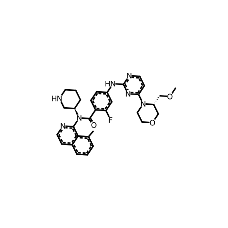 COC[C@@H]1COCCN1c1ccnc(Nc2ccc(C(=O)N(c3nccc4cccc(C)c34)[C@@H]3CCCNC3)c(F)c2)n1